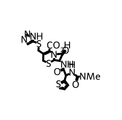 CNC(=O)NC(C(=O)N[C@H]1C(=O)N2C(C(=O)O)=C(CSc3cnn[nH]3)CSC12)c1cccs1